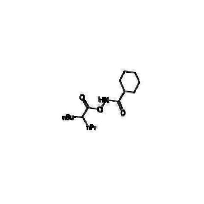 CCCCC(CCC)C(=O)ONC(=O)C1CCCCC1